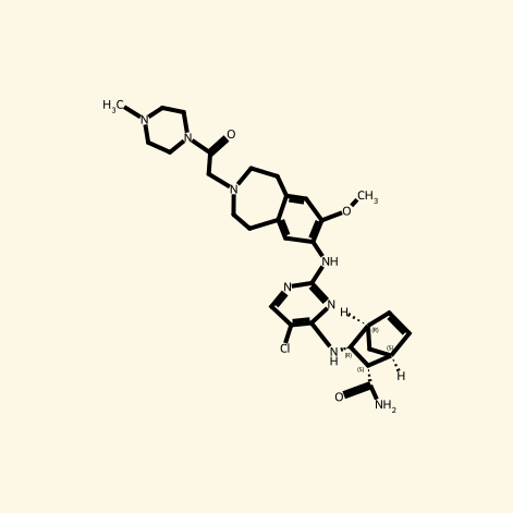 COc1cc2c(cc1Nc1ncc(Cl)c(N[C@H]3[C@@H](C(N)=O)[C@@H]4C=C[C@H]3C4)n1)CCN(CC(=O)N1CCN(C)CC1)CC2